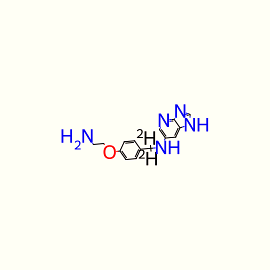 [2H]C([2H])(Nc1cnc2nc[nH]c2c1)c1ccc(OCCN)cc1